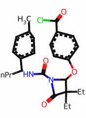 CCCC(NC(=O)N1C(=O)C(CC)(CC)C1Oc1ccc(C(=O)Cl)cc1)c1ccc(C)cc1